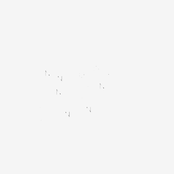 CC1(n2c(=O)c3c(-n4nncc4C4CC4)ncn3c3ccc(F)cc32)CCCO1